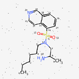 CCCCCCN(CC(C)N)S(=O)(=O)c1cccc2cnccc12